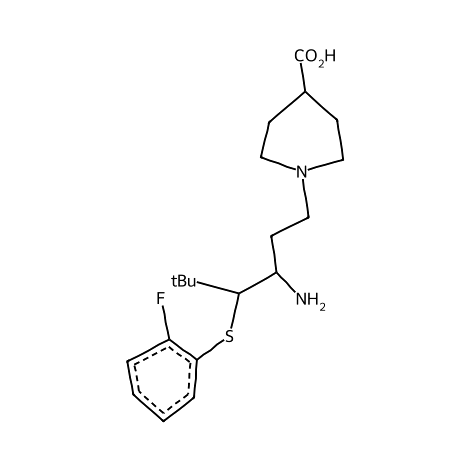 CC(C)(C)C(Sc1ccccc1F)C(N)CCN1CCC(C(=O)O)CC1